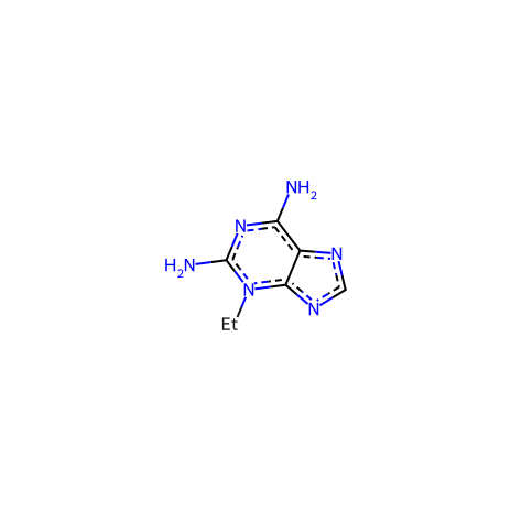 CCn1c(N)nc(N)c2ncnc1-2